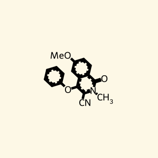 COc1ccc2c(=O)n(C)c(C#N)c(Oc3ccccc3)c2c1